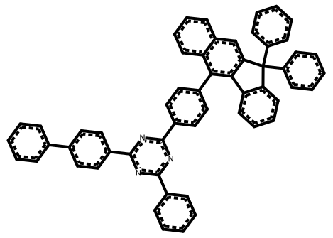 c1ccc(-c2ccc(-c3nc(-c4ccccc4)nc(-c4ccc(-c5c6c(cc7ccccc57)C(c5ccccc5)(c5ccccc5)c5ccccc5-6)cc4)n3)cc2)cc1